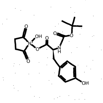 CC(C)(C)OC(=O)N[C@@H](Cc1ccc(O)cc1)C(=O)O[N+]1(O)C(=O)CCC1=O